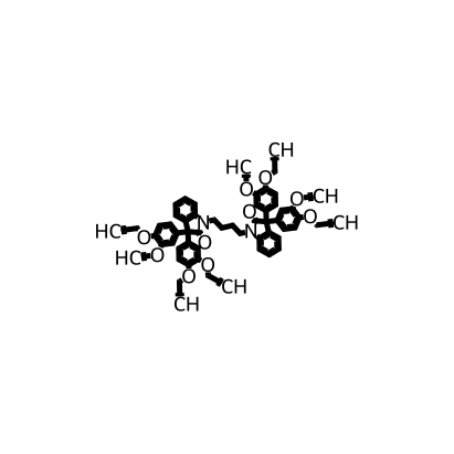 C#CCOc1ccc(C2(c3ccc(OCC#C)c(OC#C)c3)C(=O)N(CCCCN3C(=O)C(c4ccc(OCC#C)c(OC#C)c4)(c4ccc(OCC#C)c(OCC#C)c4)c4ccccc43)c3ccccc32)cc1OC#C